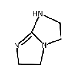 C1CN2CCNC2=N1